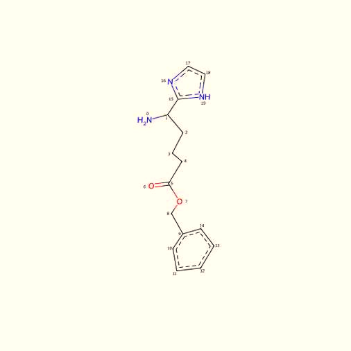 NC(CCCC(=O)OCc1ccccc1)c1ncc[nH]1